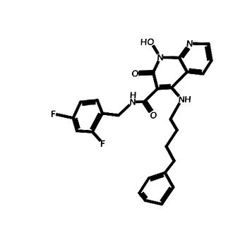 O=C(NCc1ccc(F)cc1F)c1c(NCCCCc2ccccc2)c2cccnc2n(O)c1=O